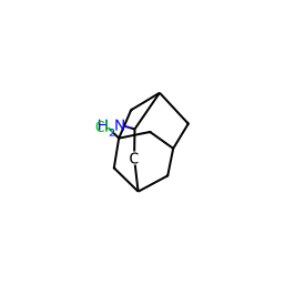 NC1CC2CC3CC1CC(Cl)(C2)C3